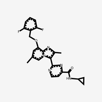 Cc1cc(OCc2c(F)cccc2F)c2nc(C)c(-c3nccc(C(=O)NC4CC4)n3)n2c1